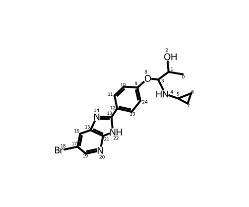 CC(O)C(NC1CC1)Oc1ccc(-c2nc3cc(Br)cnc3[nH]2)cc1